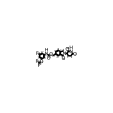 O=C1CCC(N2Cc3ccc(COC(=O)Nc4cc(F)cc(OC(F)F)c4)cc3C2=O)C(=O)N1